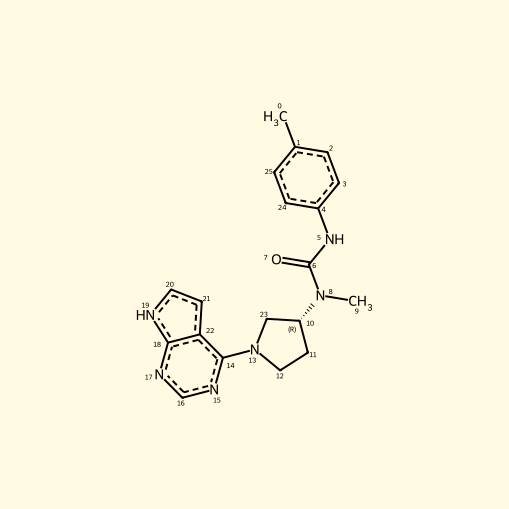 Cc1ccc(NC(=O)N(C)[C@@H]2CCN(c3ncnc4[nH]ccc34)C2)cc1